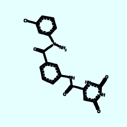 NN(C(=O)c1cccc(NC(=O)c2cc(=O)[nH]c(=O)[nH]2)c1)c1cccc(Cl)c1